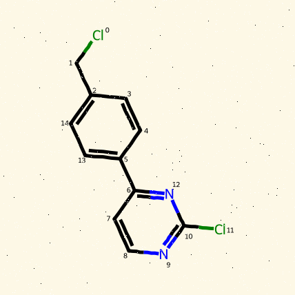 ClCc1ccc(-c2ccnc(Cl)n2)cc1